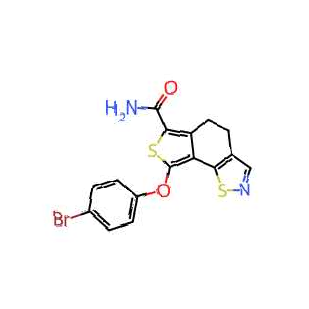 NC(=O)c1sc(Oc2ccc(Br)cc2)c2c1CCc1cnsc1-2